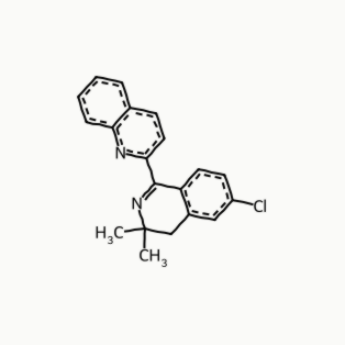 CC1(C)Cc2cc(Cl)ccc2C(c2ccc3ccccc3n2)=N1